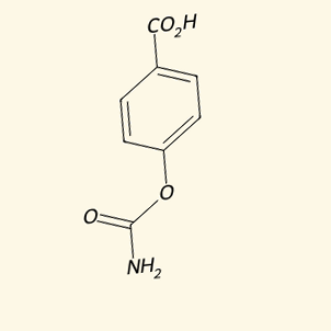 NC(=O)Oc1ccc(C(=O)O)cc1